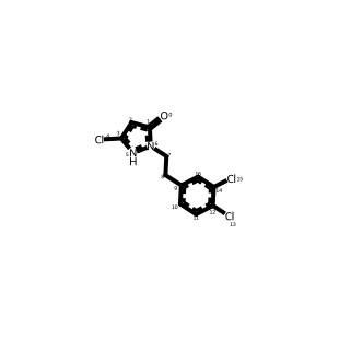 O=c1cc(Cl)[nH]n1CCc1ccc(Cl)c(Cl)c1